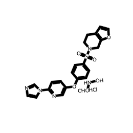 Cl.O=CNO.O=S(=O)(c1ccc(Oc2ccc(-n3ccnc3)nc2)cc1)N1CCc2ccoc2C1